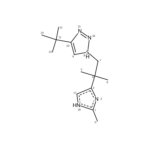 Cc1nc(C(C)(C)C[SH]2C=C(C(C)(C)C)N=N2)c[nH]1